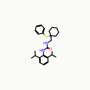 CC(C)c1cccc(C(C)C)c1NC(=O)NCC1(Sc2ccccc2)CCCCC1